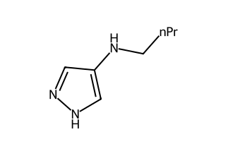 CCCCNc1cn[nH]c1